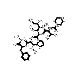 CC[C@H](C)[C@@H]([C@@H](CC(=O)N1CCC[C@H]1[C@H](OC)[C@@H](C)C(=O)NC(Cc1ccccc1)C(=O)OC)OC)N(C)C(=O)[C@@H](NC(=O)N1CCNCC1)C(C)C